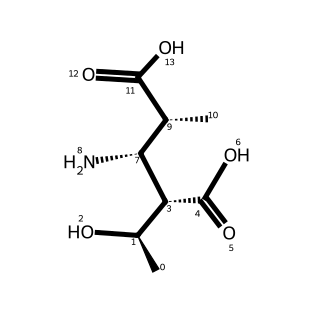 C[C@@H](O)[C@@H](C(=O)O)[C@H](N)[C@@H](C)C(=O)O